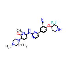 COc1nc(Nc2nccc(-c3ccc(OC4CCNCC4(F)F)c(C#N)c3)n2)ccc1N1CCN(C)C[C@H]1C